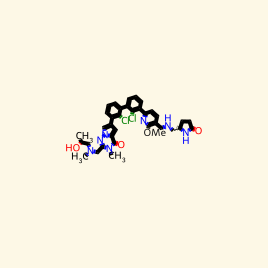 COc1nc(-c2cccc(-c3cccc(-c4cc5c(=O)n(C)c(CN(C)CC(C)O)nn5c4)c3Cl)c2Cl)ccc1CNC[C@@H]1CCC(=O)N1